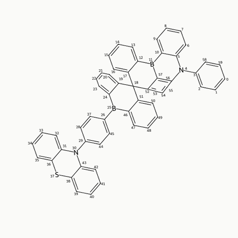 c1ccc(N2c3ccccc3B3c4ccccc4C4(c5ccccc5B(c5ccc(N6c7ccccc7Sc7ccccc76)cc5)c5ccccc54)c4cccc2c43)cc1